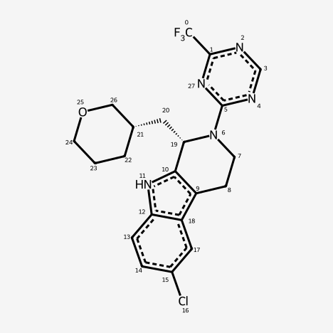 FC(F)(F)c1ncnc(N2CCc3c([nH]c4ccc(Cl)cc34)[C@@H]2C[C@@H]2CCCOC2)n1